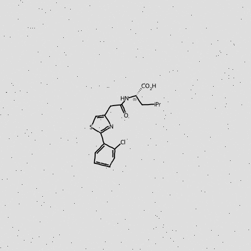 CC(C)C[C@H](NC(=O)Cc1csc(-c2ccccc2Cl)n1)C(=O)O